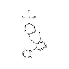 Fc1cncc(-n2nccn2)c1Cc1ccc(C(F)(F)F)cc1